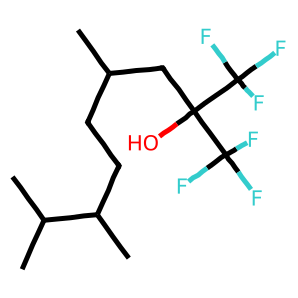 CC(CCC(C)C(C)C)CC(O)(C(F)(F)F)C(F)(F)F